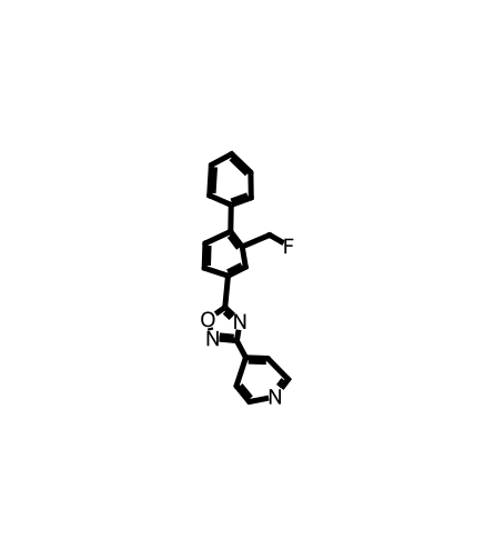 FCc1cc(-c2nc(-c3ccncc3)no2)ccc1-c1ccccc1